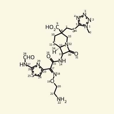 Cn1nnnc1SCC1(C(=O)O)CS[C@@H]2C(NC(=O)C(=NOCCN)c3csc(NC=O)n3)C(=O)N2C1